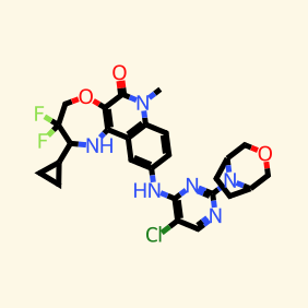 Cn1c(=O)c2c(c3cc(Nc4nc(N5C6CCC5COC6)ncc4Cl)ccc31)NC(C1CC1)C(F)(F)CO2